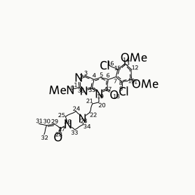 CNc1ncc2cc(-c3c(Cl)c(OC)cc(OC)c3Cl)c(=O)n(CCCN3CCN(C(=O)C=C(C)C)CC3)c2n1